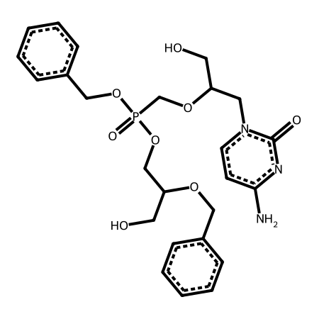 Nc1ccn(CC(CO)OCP(=O)(OCc2ccccc2)OCC(CO)OCc2ccccc2)c(=O)n1